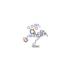 CCCCCCCCCCCCCCCC[N+](C)(C)C.NS(=O)(=O)c1cc(C(=O)O)c(NCc2ccco2)cc1Cl